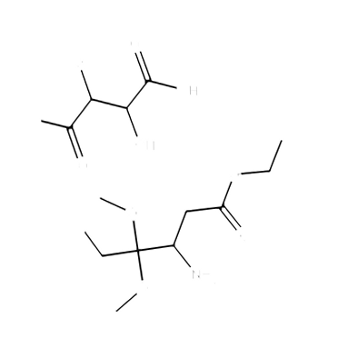 CCOC(=O)CC(N)C(CF)(OC)OC.O=C(O)C(O)C(O)C(=O)O